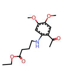 CCOC(=O)CCCNc1cc(OC)c(OC)cc1C(C)=O